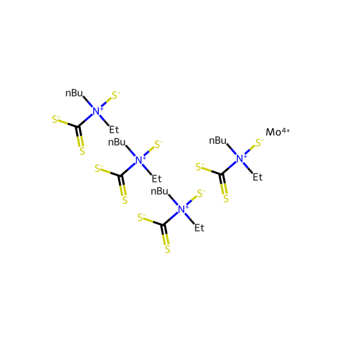 CCCC[N+]([S-])(CC)C(=S)[S-].CCCC[N+]([S-])(CC)C(=S)[S-].CCCC[N+]([S-])(CC)C(=S)[S-].CCCC[N+]([S-])(CC)C(=S)[S-].[Mo+4]